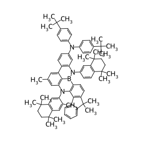 Cc1cc2c3c(c1)N(c1cc4c(cc1C)C(C)(C)CCC4(C)C)c1c(ccc4c1-c1ccccc1C4(C)C)B3N(c1ccc3c(c1)C(C)(C)CCC3(C)C)c1cc(N(c3ccc(C(C)(C)C)cc3)c3ccc(C(C)(C)C)cc3)ccc1-2